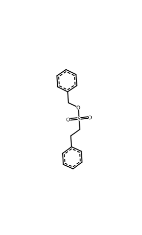 O=S(=O)(CCc1ccccc1)OCc1ccccc1